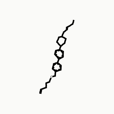 C=CCCCOCc1ccc(-c2ccc(C3CCC(CC=CCC)CC3)cc2)cc1